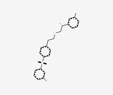 CCOC(=O)c1cccc(S(=O)(=O)c2ccc(CCNC[C@@H](O)c3cccc(Cl)c3)cc2)c1.Cl